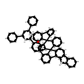 c1ccc(-c2cc(-c3ccccc3)nc(-c3ccc(-c4cccc5c4C4(c6ccccc6C6(c7ccccc7-c7ccccc76)c6ccccc64)c4ccc6c(oc7ccccc76)c4-5)cc3)n2)cc1